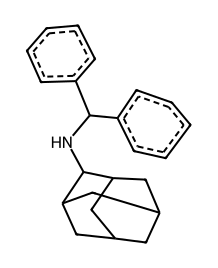 c1ccc(C(NC2C3CC4CC(C3)CC2C4)c2ccccc2)cc1